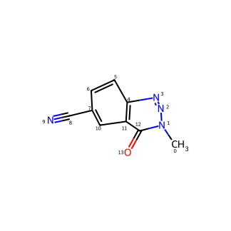 Cn1nnc2ccc(C#N)cc2c1=O